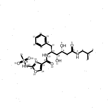 CC(C)CNC(=O)C[C@@H](O)[C@H](O)[C@H](Cc1ccccc1)NC(=O)c1coc(NS(C)(=O)=O)n1